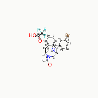 CC(=O)N1CC2Cc3ccccc3CC1CN2Cc1cccc(Br)c1.O=C(O)C(F)(F)F